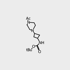 CC(=O)N1CCN(C2CC(NC(=O)OC(C)(C)C)C2)CC1